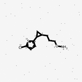 NOCCCC1CC1c1ccc(Cl)s1